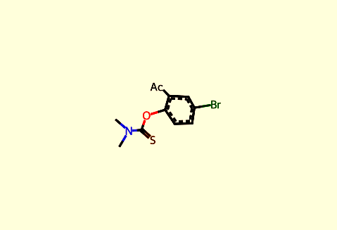 CC(=O)c1cc(Br)ccc1OC(=S)N(C)C